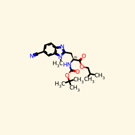 CC(C)COC(=O)[C@H](Cc1nc2ccc(C#N)cc2n1C)NC(=O)OC(C)(C)C